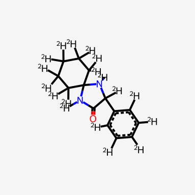 [2H]c1c([2H])c([2H])c(C2([2H])C(=O)N([2H])C3(N2[2H])C([2H])([2H])C([2H])([2H])C([2H])([2H])C([2H])([2H])C3([2H])[2H])c([2H])c1[2H]